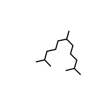 C[C](CCCC(C)C)CCCC(C)C